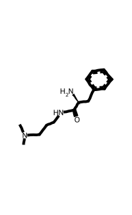 CN(C)CCCNC(=O)[C@@H](N)Cc1ccccc1